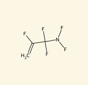 C=C(F)C(F)(F)N(F)F